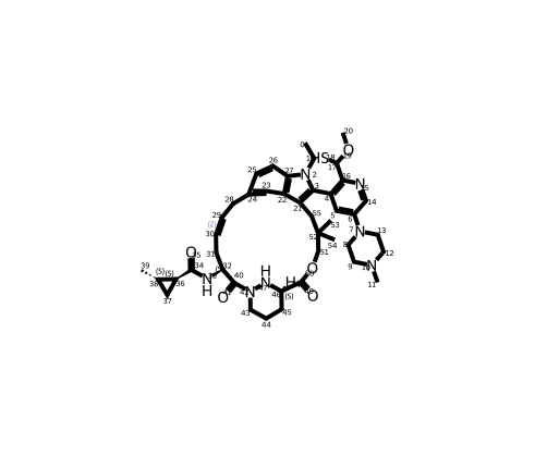 CCn1c(-c2cc(N3CCN(C)CC3)cnc2C(S)OC)c2c3cc(ccc31)C/C=C\C[C@H](NC(=O)[C@H]1C[C@@H]1C)C(=O)N1CCC[C@H](N1)C(=O)OCC(C)(C)C2